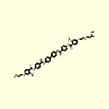 COCCOc1ccc(C(=O)Oc2ccc(C(=O)Oc3ccc(-c4ccc(OC(=O)c5ccc(OC(=O)c6ccc(OCCOCCC(C)OC)cc6OC)cc5)cc4)cc3)cc2)c(OC)c1